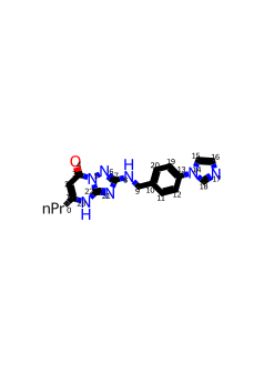 CCCc1cc(=O)n2nc(NCc3ccc(-n4ccnc4)cc3)nc2[nH]1